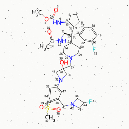 COC(=O)N[C@H]1CCC[C@@H]1[C@](CNC(C)=O)(c1cccc(F)c1)C1CCN(CC2(O)CN(c3ccc(S(C)(=O)=O)c(CN4CC(F)C4)c3)C2)CC1